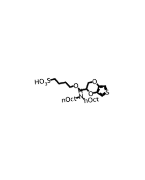 CCCCCCCCNCCCCCCCC.O=S(=O)(O)CCCCOCC1COc2cscc2O1